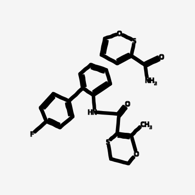 CC1=C(C(=O)Nc2ccccc2-c2ccc(F)cc2)SCCO1.NC(=O)C1=CC=COS1